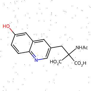 CC(=O)NC(Cc1cnc2ccc(O)cc2c1)(C(=O)O)C(=O)O